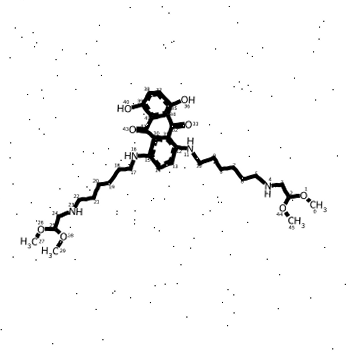 COC(CNCCCCCCNc1ccc(NCCCCCCNCC(OC)OC)c2c1C(=O)c1c(O)ccc(O)c1C2=O)OC